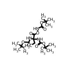 CCC(NC(=O)OC(C)(C)C)(NC(=O)OC(C)(C)C)C(=O)ONC(=O)OC(C)(C)C